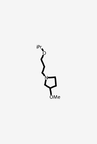 COC1CCN(CCCOC(C)C)C1